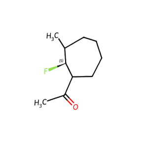 CC(=O)C1CCCCC(C)[C@@H]1F